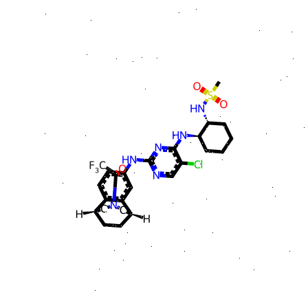 CS(=O)(=O)N[C@@H]1CCCC[C@H]1Nc1nc(Nc2ccc3c(c2)[C@@H]2CC[C@H]3CN(C(=O)C(F)(F)F)C2)ncc1Cl